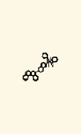 c1ccc(-n2c(-c3ccc4cc(-c5cc6ccc7ccccc7c6c6ccccc56)ccc4c3)nc3ccccc32)cc1